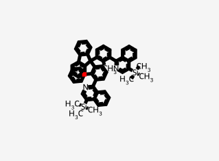 Cc1c(-c2ncc([Si](C)(C)C)c3ccccc23)cccc1C1(c2cccc(-c3ncc([Si](C)(C)C)c4ccccc34)c2-c2ccccc2)c2ccccc2-c2ccccc21